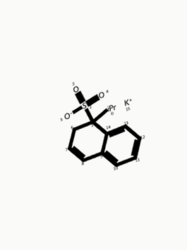 CC(C)C1(S(=O)(=O)[O-])CC=Cc2ccccc21.[K+]